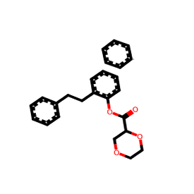 O=C(Oc1ccccc1CCc1ccccc1)C1COCCO1.[c]1ccccc1